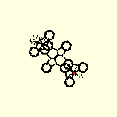 CC1(C)c2ccccc2-c2cc(N3C(=C4N(c5ccc6c(c5)-c5ccccc5C6(C)C)c5ccccc5N4c4ccc5c(c4)-c4ccccc4C5(C)C)N(c4ccc5c(c4)-c4ccccc4C5(C)C)c4ccccc43)ccc21